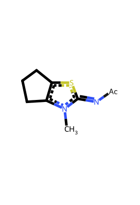 CC(=O)/N=c1\sc2c(n1C)CCC2